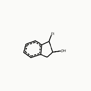 CCC1c2ccccc2CC1O